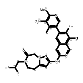 COc1ncc(-c2cc3cc(Nc4cc5n(n4)CC(=O)N(CC(F)F)CC5)ncc3c(Cl)c2F)c(C)c1[N+](=O)[O-]